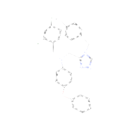 N#Cc1ccc(Cn2cnnc2CN(Cc2ccc(Cl)cc2Cl)c2ccc(Oc3ccccc3)cc2)cc1